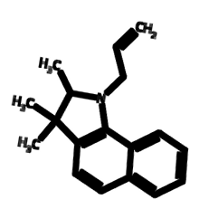 C=CCN1c2c(ccc3ccccc23)C(C)(C)C1C